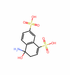 NC1(O)CC=C(S(=O)(=O)O)c2cc(S(=O)(=O)O)ccc21